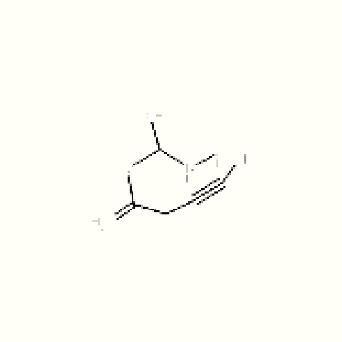 C=C(CC#CC)NC(C)NP